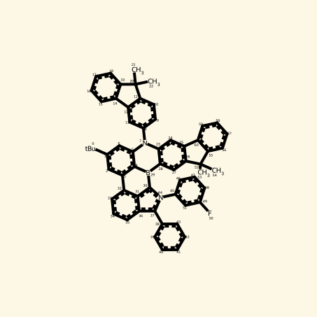 CC(C)(C)c1cc2c3c(c1)N(c1ccc4c(c1)-c1ccccc1C4(C)C)c1cc4c(cc1B3c1c3c-2cccc3c(-c2ccccc2)n1-c1cccc(F)c1)C(C)(C)c1ccccc1-4